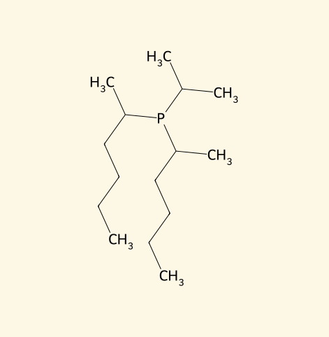 CCCCC(C)P(C(C)C)C(C)CCCC